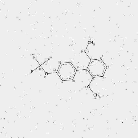 CNc1nccc(OC)c1-c1ccc(OC(F)(F)F)cc1